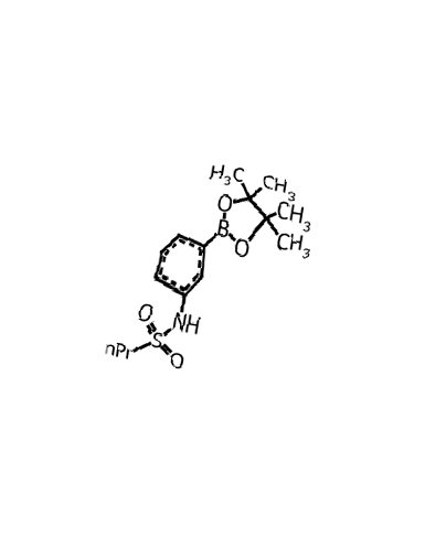 CCCS(=O)(=O)Nc1cccc(B2OC(C)(C)C(C)(C)O2)c1